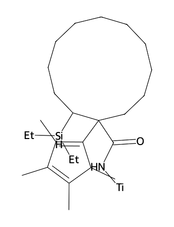 CC[SiH](CC)C1CCCCCCCCCCC1(C(=O)[NH][Ti])C1=C(C)C(C)=C(C)C1C